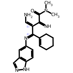 CN(C)C(=O)C(=N)C(=C\N)/C(=N/c1ccc2[nH]ncc2c1)C1=CCCCC1